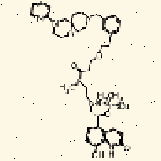 CN(CCNC[C@H](O[Si](C)(C)C(C)(C)C)c1ccc(O)c2[nH]c(=O)ccc12)C(=O)CCOCCc1cccc(CN2CCC3(CC2)CN(c2ccccn2)CCO3)c1